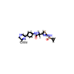 COc1cncc(-c2ccc(NC(=O)C(C)(C)c3csc(N[S+]([O-])C4CC4)n3)cc2)n1